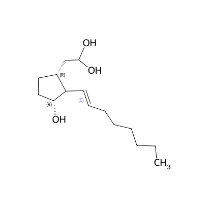 CCCCCC/C=C/C1[C@@H](CC(O)O)CC[C@H]1O